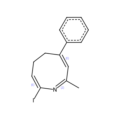 CC1=N/C(I)=C\CC/C(c2ccccc2)=C\1